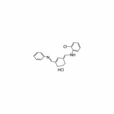 Cl.Clc1ccccc1NC=C1C=C(C=Nc2ccccc2)CCC1